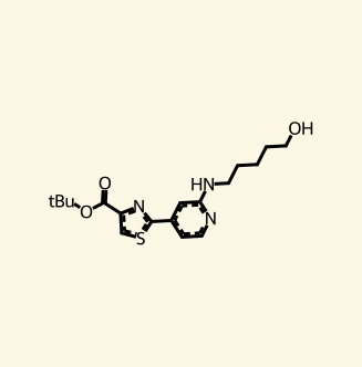 CC(C)(C)OC(=O)c1csc(-c2ccnc(NCCCCCO)c2)n1